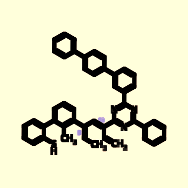 C=C/C(=C\C(=C/C)c1cccc(-c2ccccc2S)c1C)c1nc(-c2ccccc2)nc(-c2cccc(-c3ccc(-c4ccccc4)cc3)c2)n1